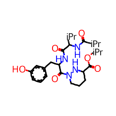 CC(C)OC(=O)C1CCCN(C(=O)C(Cc2cccc(O)c2)NC(=O)C(NC(=O)C(C)C)C(C)C)N1